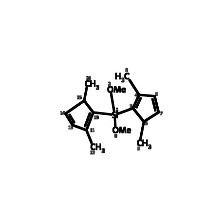 CO[Si](OC)(C1=C(C)C=CC1C)C1=C(C)C=CC1C